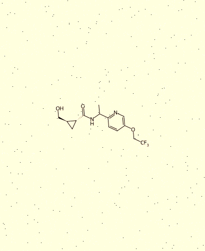 CC(NC(=O)[C@@H]1C[C@H]1CO)c1ccc(OCC(F)(F)F)cn1